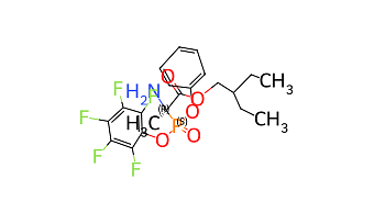 CCC(CC)COC(=O)[C@](C)(N)[P@](=O)(Oc1ccccc1)Oc1c(F)c(F)c(F)c(F)c1F